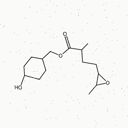 CC(CCC1OC1C)C(=O)OCC1CCC(O)CC1